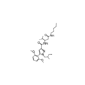 CCCCCNC(=O)CC(NC(=O)c1cc(-c2c(OC)cccc2OC)n(CC(C)CC)n1)C(C)C